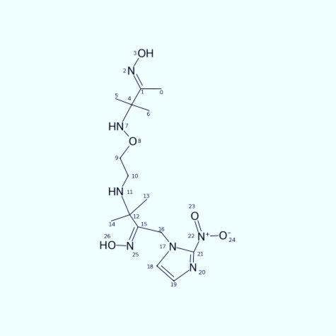 CC(=NO)C(C)(C)NOCCNC(C)(C)C(Cn1ccnc1[N+](=O)[O-])=NO